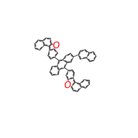 c1ccc2cc(-c3ccc4c(-c5ccc6c(c5)oc5ccc7ccccc7c56)c5ccccc5c(-c5ccc6c(c5)oc5ccc7ccccc7c56)c4c3)ccc2c1